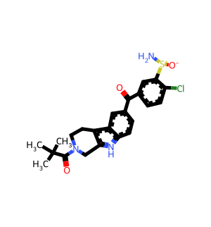 CC(C)(C)C(=O)N1CCc2c([nH]c3ccc(C(=O)c4ccc(Cl)c([S+](N)[O-])c4)cc23)C1